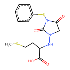 CSCCC(NN1CC(=O)N(Sc2ccccc2)C1=O)C(=O)O